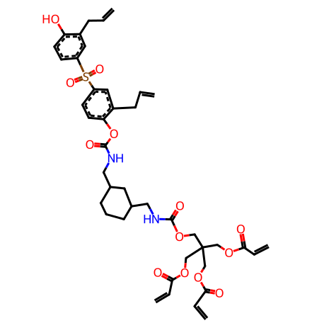 C=CCc1cc(S(=O)(=O)c2ccc(OC(=O)NCC3CCCC(CNC(=O)OCC(COC(=O)C=C)(COC(=O)C=C)COC(=O)C=C)C3)c(CC=C)c2)ccc1O